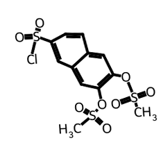 CS(=O)(=O)Oc1cc2ccc(S(=O)(=O)Cl)cc2cc1OS(C)(=O)=O